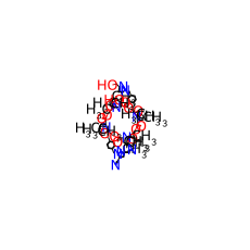 CC(C)C[C@H]1C(=O)O[C@H](Cc2ccc(Cn3nc(CO)cc3CO)cc2)C(=O)N(C)[C@@H](CC(C)C)C(=O)O[C@H](C)C(=O)N(C)[C@@H](CC(C)C)C(=O)O[C@H](Cc2ccc(Cn3nc(C#N)cc3C#N)cc2)C(=O)N(C)[C@@H](CC(C)C)C(=O)O[C@H](C)C(=O)N1C